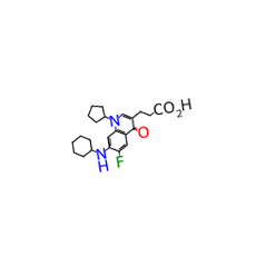 O=C(O)CCc1cn(C2CCCC2)c2cc(NC3CCCCC3)c(F)cc2c1=O